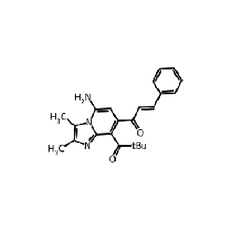 Cc1nc2c(C(=O)C(C)(C)C)c(C(=O)C=Cc3ccccc3)cc(N)n2c1C